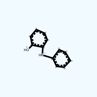 Oc1ccc[c]c1Nc1ccccc1